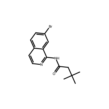 CC(C)(C)CC(=O)Nc1nccc2ccc(Br)cc12